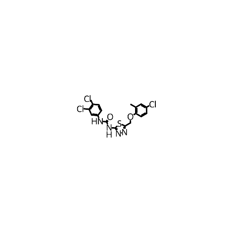 Cc1cc(Cl)ccc1OCc1nnc(NC(=O)Nc2ccc(Cl)c(Cl)c2)s1